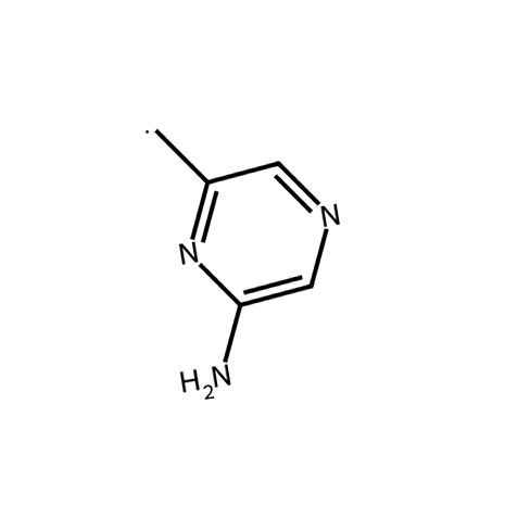 [CH2]c1cncc(N)n1